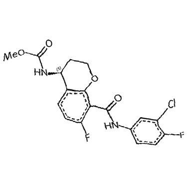 COC(=O)N[C@H]1CCOc2c1ccc(F)c2C(=O)Nc1ccc(F)c(Cl)c1